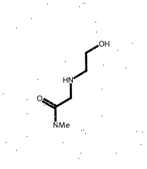 CNC(=O)CNCCO